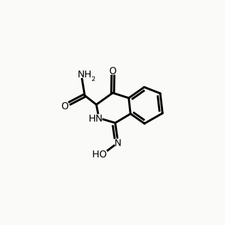 NC(=O)C1NC(=NO)c2ccccc2C1=O